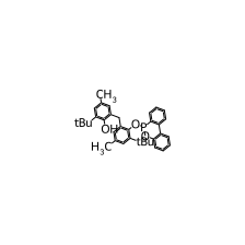 Cc1cc(Cc2cc(C)cc(C(C)(C)C)c2OP2Oc3ccccc3-c3ccccc32)c(O)c(C(C)(C)C)c1